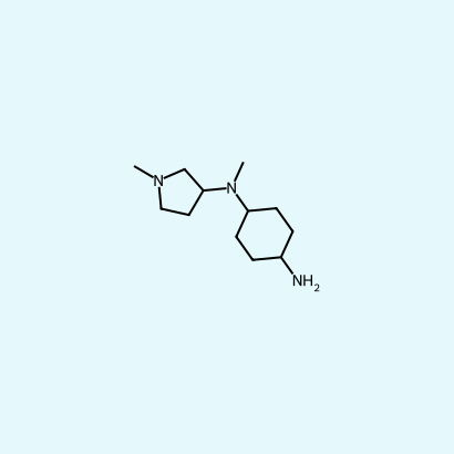 CN1CCC(N(C)C2CCC(N)CC2)C1